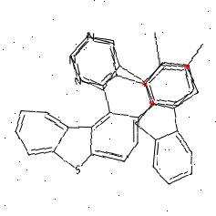 Cc1cc2c(c(-c3cnnnc3-c3c(-c4ccccc4-c4ccccc4)ccc4sc5ccccc5c34)c1C)Cc1ccccc1-2